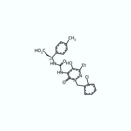 CCc1nn(Cc2ccccc2Cl)c(=O)c(NC(=O)N[C@@H](CC(=O)O)c2ccc(C)cc2)c1O